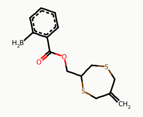 Bc1ccccc1C(=O)OCC1CSCC(=C)CS1